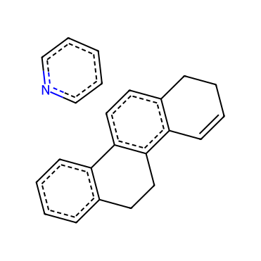 C1=Cc2c(ccc3c2CCc2ccccc2-3)CC1.c1ccncc1